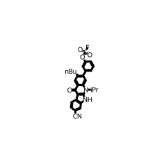 CCCCc1cc2c(=O)c3c4ccc(C#N)cc4[nH]c3n(C(C)C)c2cc1-c1cccc(OS(=O)(=O)F)c1